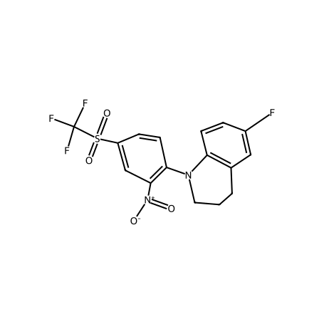 O=[N+]([O-])c1cc(S(=O)(=O)C(F)(F)F)ccc1N1CCCc2cc(F)ccc21